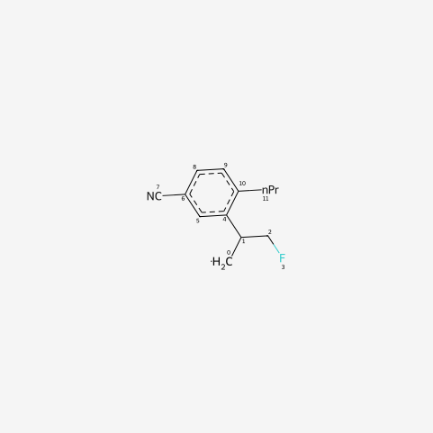 [CH2]C(CF)c1cc(C#N)ccc1CCC